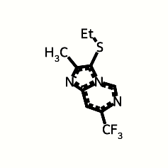 CCSc1c(C)nc2cc(C(F)(F)F)ncn12